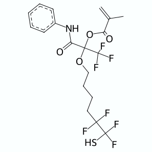 C=C(C)C(=O)OC(OCCCCC(F)(F)C(F)(F)S)(C(=O)Nc1ccccc1)C(F)(F)F